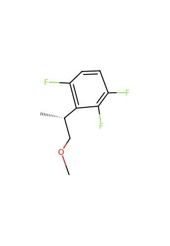 COC[C@H](C)c1c(F)ccc(F)c1F